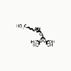 O=C(O)CCCCCn1cc(COCC(COC(CO)CO)COC(CO)CO)nn1